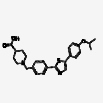 CC(C)Oc1ccc(-c2cnc(-c3ccc(CN4CCC(C(=O)O)CC4)cc3)s2)cc1